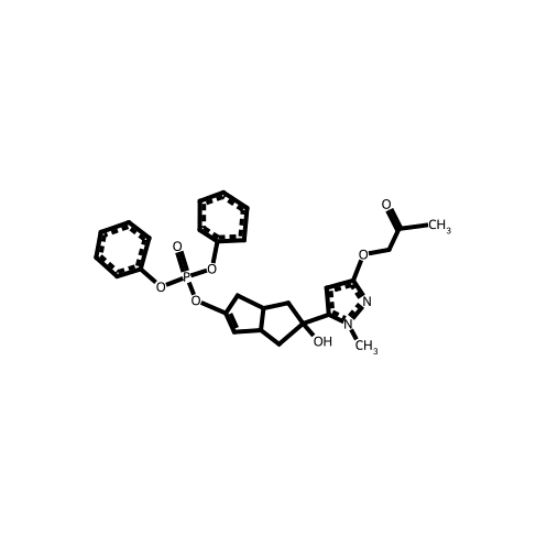 CC(=O)COc1cc(C2(O)CC3C=C(OP(=O)(Oc4ccccc4)Oc4ccccc4)CC3C2)n(C)n1